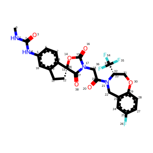 CNC(=O)Nc1ccc2c(c1)CC[C@@]21OC(=O)N(CC(=O)N2Cc3cc(F)ccc3OC[C@H]2C(F)(F)F)C1=O